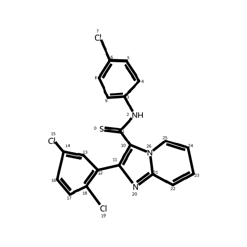 S=C(Nc1ccc(Cl)cc1)c1c(-c2cc(Cl)ccc2Cl)nc2ccccn12